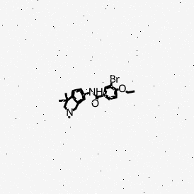 CCOc1ccc(C(=O)Nc2ccc3c(c2)CN(C)CC3(C)C)cc1Br